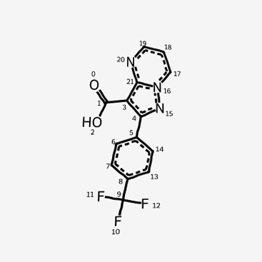 O=C(O)c1c(-c2ccc(C(F)(F)F)cc2)nn2cccnc12